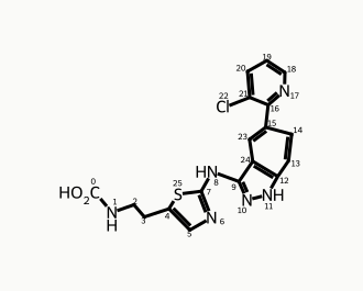 O=C(O)NCCc1cnc(Nc2n[nH]c3ccc(-c4ncccc4Cl)cc23)s1